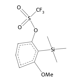 COc1cccc(OS(=O)(=O)C(F)(F)F)c1[Si](C)(C)C